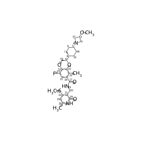 COC1CN([C@H]2CC[C@H]([C@@H]3COc4c(F)cc(C(=O)NCc5c(SC)cc(C)[nH]c5=O)c(C)c4O3)CC2)C1